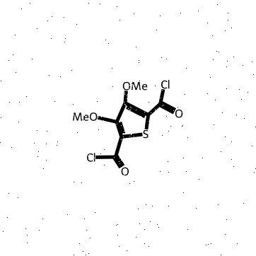 COc1c(C(=O)Cl)sc(C(=O)Cl)c1OC